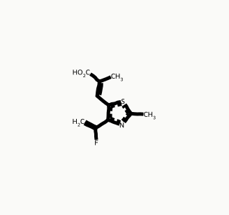 C=C(F)c1nc(C)sc1/C=C(\C)C(=O)O